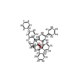 Cc1cc(-c2ccccc2)ccc1N1c2ccc3c(c2)C2(c4ccccc4-3)c3ccccc3-c3cccc(c32)-c2cc(-c3ccccc3)ccc21